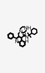 CC(C)(NC(=O)c1c(CN2CCNCC2)c(-c2ccccc2)nc2ccccc12)C1CCCCC1